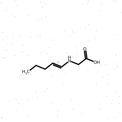 CCC/C=C/NCC(=O)O